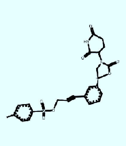 Cc1ccc(S(=O)(=O)OCC#Cc2cccc([C@H]3CN(C4CCC(=O)NC4=O)C(=O)O3)c2)cc1